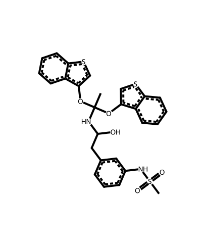 CC(NC(O)Cc1cccc(NS(C)(=O)=O)c1)(Oc1csc2ccccc12)Oc1csc2ccccc12